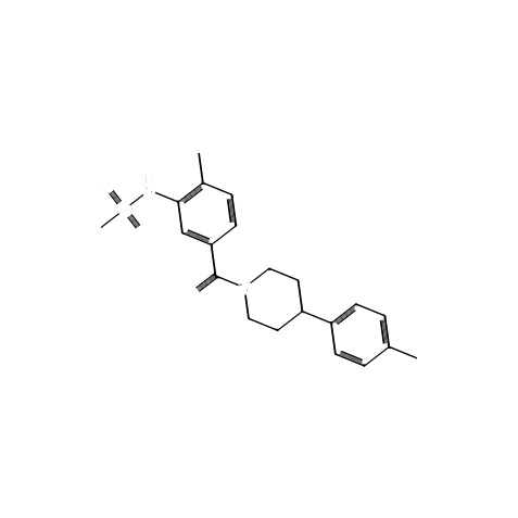 Cc1ccc(C2CCN(C(=O)c3ccc(C)c(NS(C)(=O)=O)c3)CC2)cc1